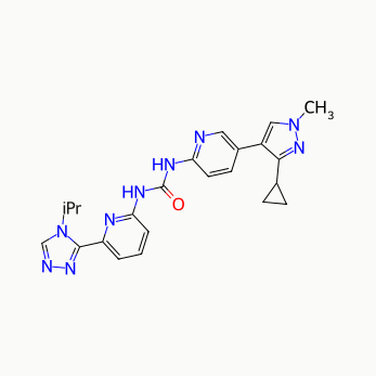 CC(C)n1cnnc1-c1cccc(NC(=O)Nc2ccc(-c3cn(C)nc3C3CC3)cn2)n1